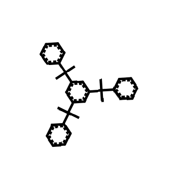 CC(C)(c1ccccc1)c1cc(C(C)(C)c2ccccc2)cc(C(C)(C)c2ccccc2)c1